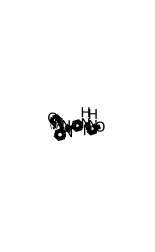 C[C@H]1COCCN1c1nc(-c2ccc(Nc3nccc(=O)[nH]3)cc2)nc2c1CCCC2